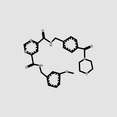 COc1cccc(CNC(=O)c2cc(C(=O)NCc3ccc(C(=O)N4CCSCC4)cc3)ncn2)c1